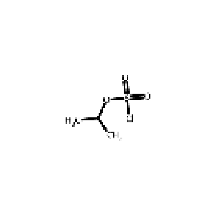 CC(C)OS(=O)(=O)Cl